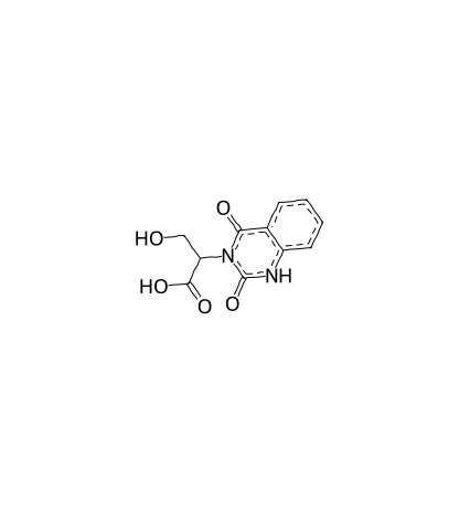 O=C(O)C(CO)n1c(=O)[nH]c2ccccc2c1=O